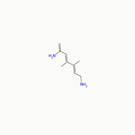 C=C(N)/C=C(C)/C(C)=C/CN